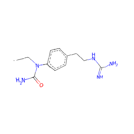 [CH2]CN(C(N)=O)c1ccc(CCNC(=N)N)cc1